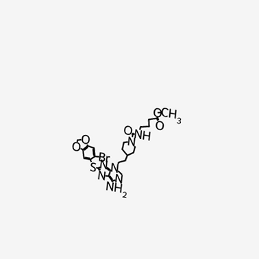 COC(=O)CCCNC(=O)N1CCC(CCn2cnc(N)c3nc(Sc4cc5c(cc4Br)OCO5)nc2-3)CC1